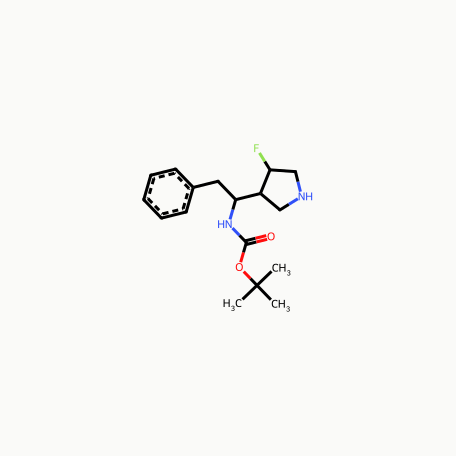 CC(C)(C)OC(=O)NC(Cc1ccccc1)C1CNCC1F